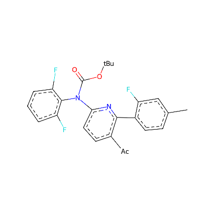 CC(=O)c1ccc(N(C(=O)OC(C)(C)C)c2c(F)cccc2F)nc1-c1ccc(C)cc1F